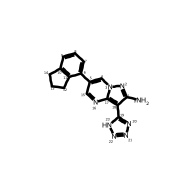 Nc1nn2cc(-c3cccc4c3CCC4)cnc2c1-c1nnn[nH]1